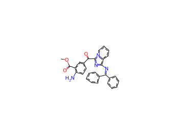 COC(=O)c1cc(C(=O)c2nc(N=C(c3ccccc3)c3ccccc3)c3ccccn23)ccc1N